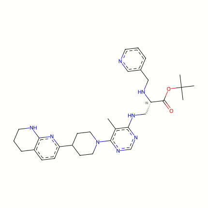 Cc1c(NC[C@H](NCc2cccnc2)C(=O)OC(C)(C)C)ncnc1N1CCC(c2ccc3c(n2)NCCC3)CC1